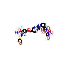 O=C1CCC(N2C(=O)c3cccc(N4CC(N5CCC(COc6cc(F)c7c(=O)[nH]c(CSC8CCOCC8)nc7c6)CC5)C4)c3C2=O)C(=O)N1